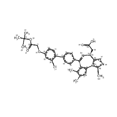 Cc1sc2c(c1C)C(c1ccc(-c3ccc(OCC(=O)OC(C)(C)C)cc3Cl)cc1)=N[C@@H](CC(=O)O)c1nnc(C)n1-2